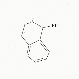 C[CH]C1NCCc2ccccc21